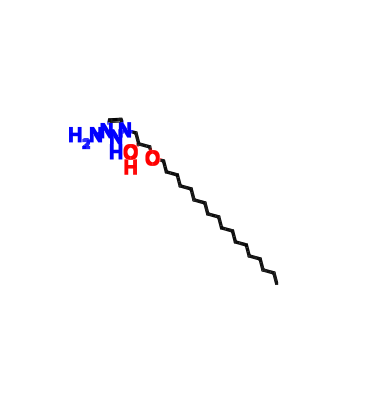 CCCCCCCCCCCCCCCCCCOCC(O)CN1C=CN(N)N1